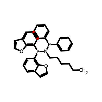 CCCCCCN(P(c1ccccc1)c1ccccc1)P(c1cccc2ccoc12)c1cccc2ccoc12